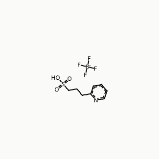 F[B-](F)(F)F.O=S(=O)(O)CCCc1ccccn1